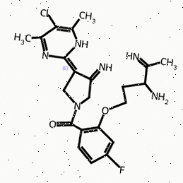 CC(=N)C(N)CCOc1cc(F)ccc1C(=O)N1CC(=N)/C(=C2/N=C(C)C(Cl)=C(C)N2)C1